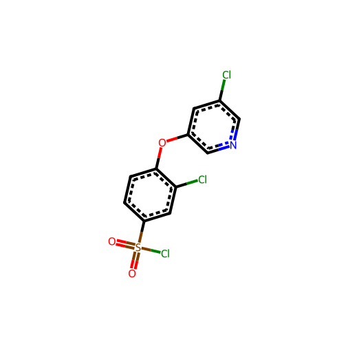 O=S(=O)(Cl)c1ccc(Oc2cncc(Cl)c2)c(Cl)c1